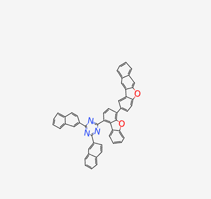 c1ccc2cc(-c3nc(-c4ccc5ccccc5c4)nc(-c4ccc(-c5ccc6oc7cc8ccccc8cc7c6c5)c5oc6ccccc6c45)n3)ccc2c1